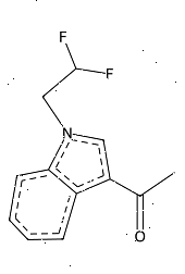 CC(=O)c1cn(CC(F)F)c2ccccc12